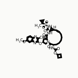 COc1ccc2nc(C)c(O[C@@H]3C[C@H]4C(=O)N[C@]5(C(=O)NS(=O)(=O)C6(C)CC6)C[C@H]5/C=C\CCCCC[C@H](NC(=O)OC5CCC5)C(=O)N4C3)nc2c1